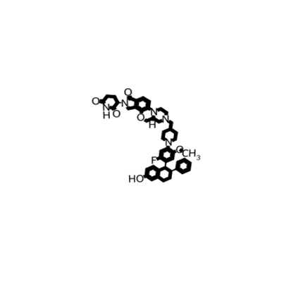 COc1cc([C@@H]2c3ccc(O)cc3CC[C@@H]2c2ccccc2)c(F)cc1N1CCC(CN2CCN3c4ccc5c(c4OC[C@H]3C2)CN([C@H]2CCC(=O)NC2=O)C5=O)CC1